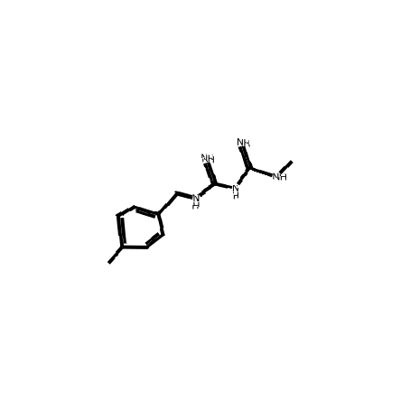 CNC(=N)NC(=N)NCc1ccc(C)cc1